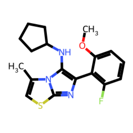 COc1cccc(F)c1-c1nc2scc(C)n2c1NC1CCCC1